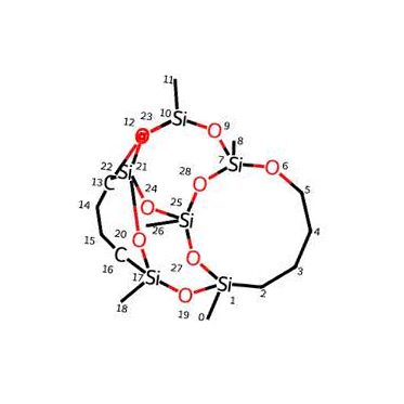 C[Si]12CCCCO[Si]3(C)O[Si]4(C)OCCCC[Si](C)(O1)O[Si](C)(O4)O[Si](C)(O2)O3